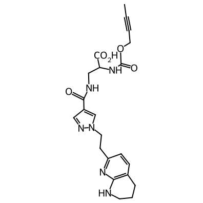 CC#CCOC(=O)NC(CNC(=O)c1cnn(CCc2ccc3c(n2)NCCC3)c1)C(=O)O